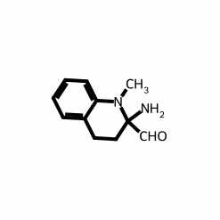 CN1c2ccccc2CCC1(N)C=O